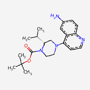 CC(C)[C@@H]1CN(c2ccnc3ccc(N)cc23)CCN1C(=O)OC(C)(C)C